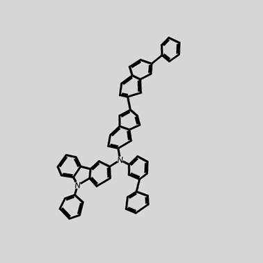 c1ccc(-c2cccc(N(c3ccc4cc(-c5ccc6ccc(-c7ccccc7)cc6c5)ccc4c3)c3ccc4c(c3)c3ccccc3n4-c3ccccc3)c2)cc1